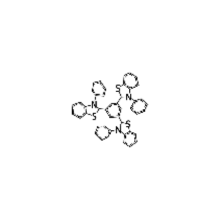 c1ccc(N2c3ccccc3SC2c2cc(C3Sc4ccccc4N3c3ccccc3)cc(C3Sc4ccccc4N3c3ccccc3)c2)cc1